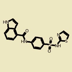 O=C(Nc1ccc(S(=O)(=O)Nc2nccs2)cc1)c1cccc2[nH]ccc12